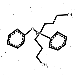 CCCC[PH](CCCC)(Oc1ccccc1)c1ccccc1